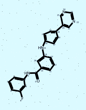 O=C(Nc1cccc(F)c1)c1cccc(Nc2ccc(-c3cncnc3)cc2)c1